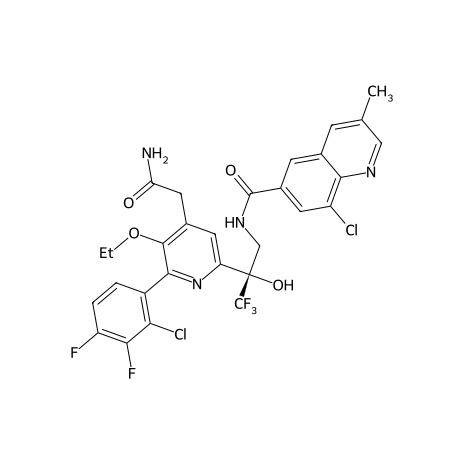 CCOc1c(CC(N)=O)cc([C@@](O)(CNC(=O)c2cc(Cl)c3ncc(C)cc3c2)C(F)(F)F)nc1-c1ccc(F)c(F)c1Cl